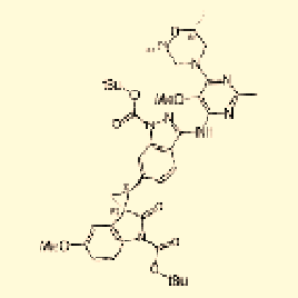 COc1ccc2c(c1)[C@]1(C[C@H]1c1ccc3c(Nc4nc(C)nc(N5C[C@@H](C)O[C@@H](C)C5)c4OC)nn(C(=O)OC(C)(C)C)c3c1)C(=O)N2C(=O)OC(C)(C)C